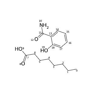 CCCCCCCC(=O)O.NC(=O)c1ccccc1O